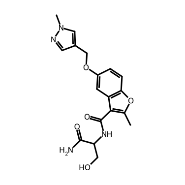 Cc1oc2ccc(OCc3cnn(C)c3)cc2c1C(=O)NC(CO)C(N)=O